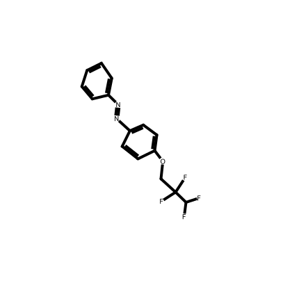 FC(F)C(F)(F)COc1ccc(/N=N/c2ccccc2)cc1